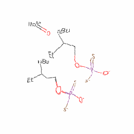 CCCCC(CC)COP([O-])(=S)[S-].CCCCC(CC)COP([O-])(=S)[S-].[O]=[Mo+4]